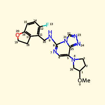 COC1CCN(c2cnc(NCc3c(F)ccc4c3CCO4)n3cnnc23)C1